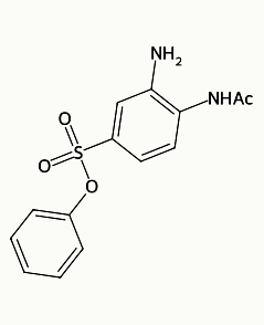 CC(=O)Nc1ccc(S(=O)(=O)Oc2ccccc2)cc1N